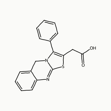 O=C(O)CC1=C(c2ccccc2)N2Cc3ccccc3N=C2S1